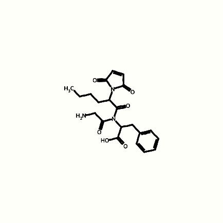 CCCCC(C(=O)N(C(=O)CN)C(Cc1ccccc1)C(=O)O)N1C(=O)C=CC1=O